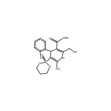 COC(=O)C1=C(CO)NC(C)=C(P2(=O)OCCCO2)C1c1ccccc1C(F)(F)F